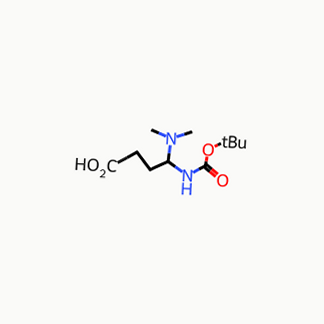 CN(C)C(CCC(=O)O)NC(=O)OC(C)(C)C